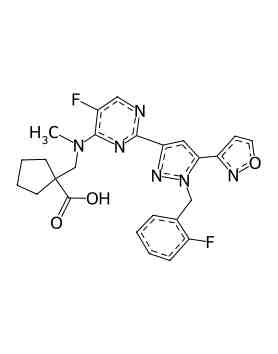 CN(CC1(C(=O)O)CCCC1)c1nc(-c2cc(-c3ccon3)n(Cc3ccccc3F)n2)ncc1F